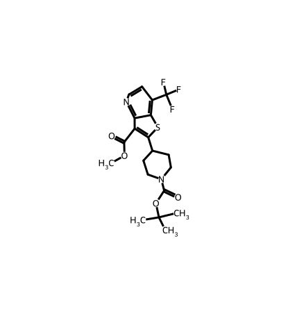 COC(=O)c1c(C2CCN(C(=O)OC(C)(C)C)CC2)sc2c(C(F)(F)F)ccnc12